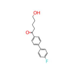 O=C(CCCCO)c1ccc(-c2ccc(F)cc2)cc1